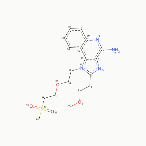 COCCc1nc2c(N)nc3ccccc3c2n1CCOCCS(C)(=O)=O